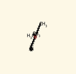 CCCCCCCCCCC[C@@H](OCCCCCCCCCc1ccccc1)C(C)C